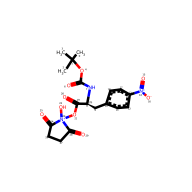 CC(C)(C)OC(=O)N[C@@H](Cc1ccc([N+](=O)[O-])cc1)C(=O)O[N+]1(O)C(=O)CCC1=O